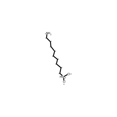 NCCCCCCCCC[SiH](Cl)Cl